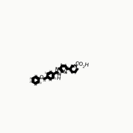 O=C(O)N1CCCC(c2ccc3nc(-c4ccc(COc5ccccc5)cc4)[nH]c3n2)C1